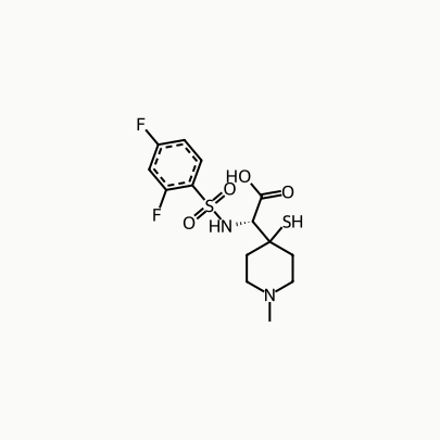 CN1CCC(S)([C@H](NS(=O)(=O)c2ccc(F)cc2F)C(=O)O)CC1